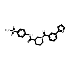 CS(=O)(=O)c1ccc(NC(=O)C2CCCN(C(=O)c3cccc(-c4ccco4)c3)C2)cc1